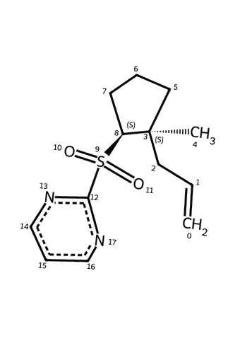 C=CC[C@]1(C)CCC[C@@H]1S(=O)(=O)c1ncccn1